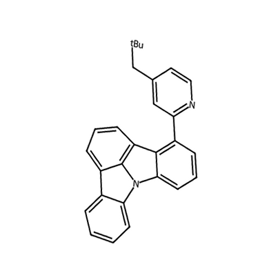 CC(C)(C)Cc1ccnc(-c2cccc3c2c2cccc4c5ccccc5n3c42)c1